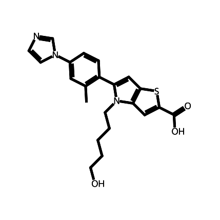 Cc1cc(-n2ccnc2)ccc1-c1cc2sc(C(=O)O)cc2n1CCCCCO